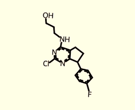 OCCCNc1nc(Cl)nc2c1CCC2c1ccc(F)cc1